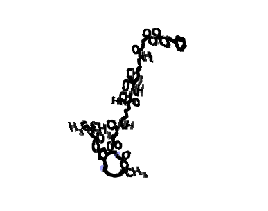 CNC(CCCCNC(=O)CCC(=O)OC1/C=C/C(=O)OC(C)CCC/C=C/C2CC(OC(=O)CN(C)C)CC21)C(=O)CNC(CCCCNC(=O)CCC(=O)OC(=O)OCc1ccccc1)C(C)=O